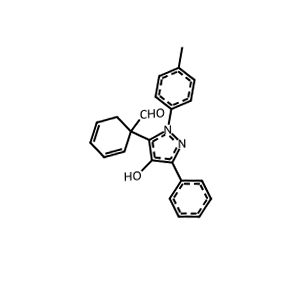 Cc1ccc(-n2nc(-c3ccccc3)c(O)c2C2(C=O)C=CC=CC2)cc1